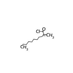 CCCCCCCCC[C@H](C)C(=O)Cl